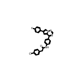 O=C(Cc1ccc(Cl)cc1)Nc1ccc(-c2ncnn3cc(-c4ccc(F)cc4)cc23)cc1